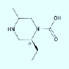 CC[C@H]1CNC(C)CN1C(=O)O